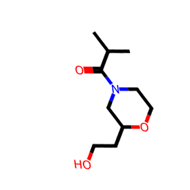 CC(C)C(=O)N1CCOC(CCO)C1